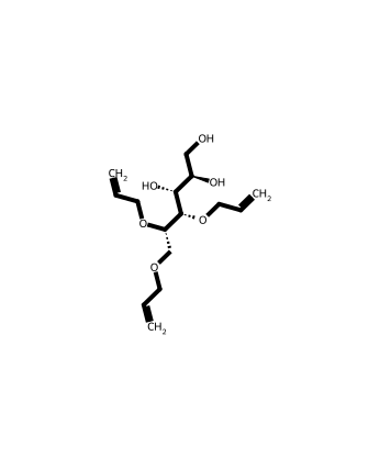 C=CCOC[C@H](OCC=C)[C@@H](OCC=C)[C@H](O)[C@H](O)CO